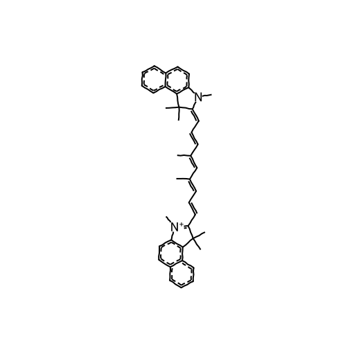 CC(=C\C=C\C1=[N+](C)c2ccc3ccccc3c2C1(C)C)/C=C(C)/C=C/C=C1/N(C)c2ccc3ccccc3c2C1(C)C